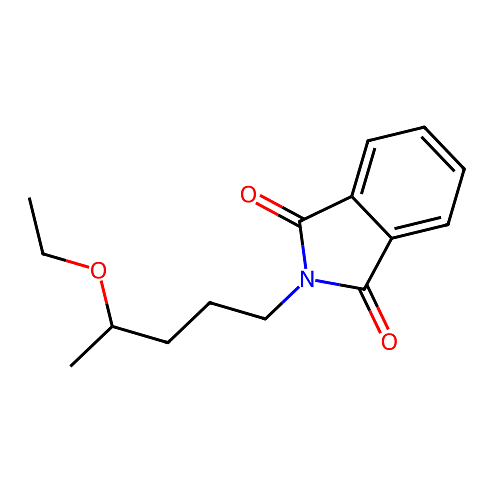 CCOC(C)CCCN1C(=O)c2ccccc2C1=O